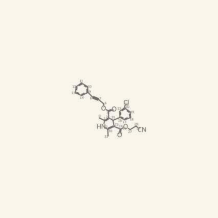 CC1=C(C(=O)OCC#Cc2ccccc2)C(c2cccc(Cl)c2)C(C(=O)OCCC#N)=C(C)N1